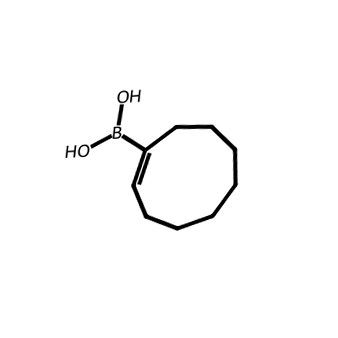 OB(O)C1=CCCCCCCC1